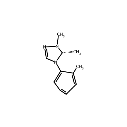 Cc1ccccc1N1C=NN(C)[C@@H]1C